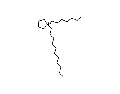 CCCCCCCCCCC[N+]1(CCCCCCC)CCCC1